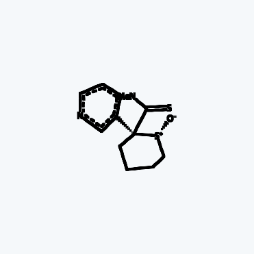 CNC(=S)[C@]1(c2cccnc2)CCCC[S@@+]1[O-]